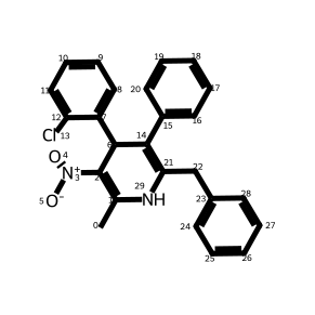 CC1=C([N+](=O)[O-])C(c2ccccc2Cl)C(c2ccccc2)=C(Cc2ccccc2)N1